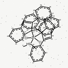 C[SiH](C)[Zr]([Cl])([Cl])([C]1(c2ccccc2)C(c2ccccc2)=Cc2ccccc21)[C]1(c2ccccc2)C(c2ccccc2)=Cc2ccccc21